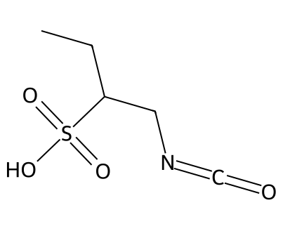 CCC(CN=C=O)S(=O)(=O)O